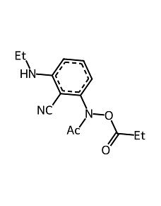 CCNc1cccc(N(OC(=O)CC)C(C)=O)c1C#N